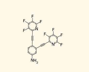 Nc1ccc(C#Cc2nc(F)c(F)c(F)c2F)c(C#Cc2nc(F)c(F)c(F)c2F)c1